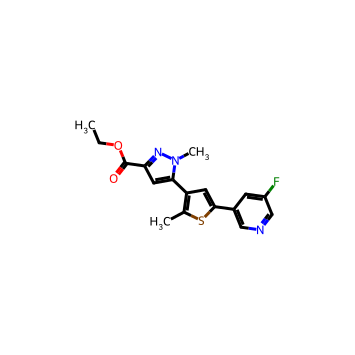 CCOC(=O)c1cc(-c2cc(-c3cncc(F)c3)sc2C)n(C)n1